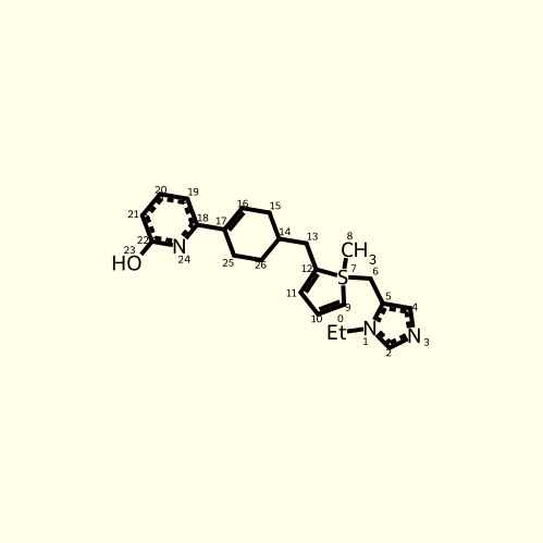 CCn1cncc1CS1(C)C=CC=C1CC1CC=C(c2cccc(O)n2)CC1